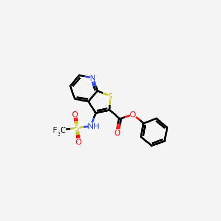 O=C(Oc1ccccc1)c1sc2ncccc2c1NS(=O)(=O)C(F)(F)F